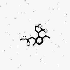 CCc1ccc(C)c(CC(=O)OC)c1C1CCOC1=O